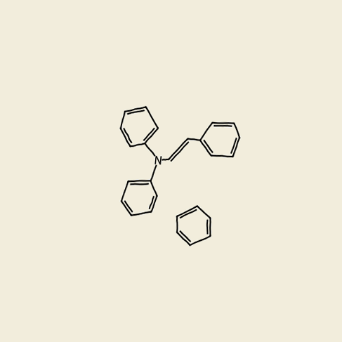 C(=CN(c1ccccc1)c1ccccc1)c1ccccc1.c1ccccc1